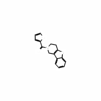 O=C(c1ccco1)N1CCC2=C(C1)c1ccccc1[N]2